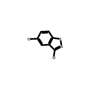 Clc1ccc2snc(Cl)c2c1